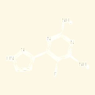 Nc1nc(N)c(F)c(-c2cc[nH]n2)n1